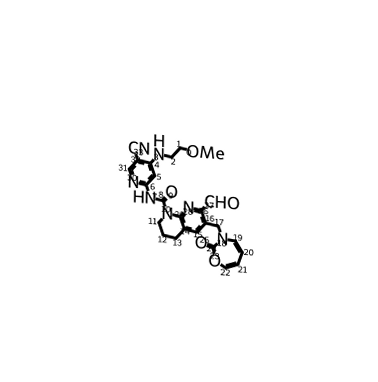 COCCNc1cc(NC(=O)N2CCCc3cc(CN4C=CC=COC4=O)c(C=O)nc32)ncc1C#N